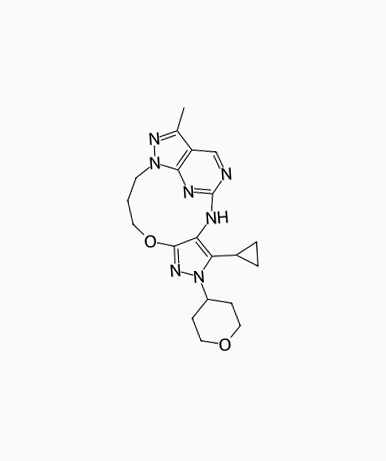 Cc1nn2c3nc(ncc13)Nc1c(nn(C3CCOCC3)c1C1CC1)OCCC2